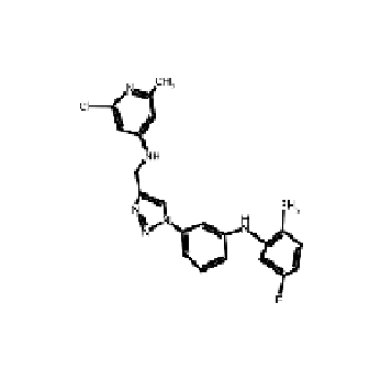 Cc1cc(NCc2cn(-c3cccc(Nc4cc(F)ccc4P)c3)nn2)cc(Cl)n1